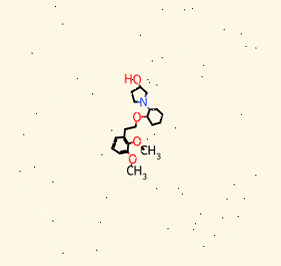 COc1cccc(CCO[C@@H]2CCCC[C@H]2N2CCC(O)C2)c1OC